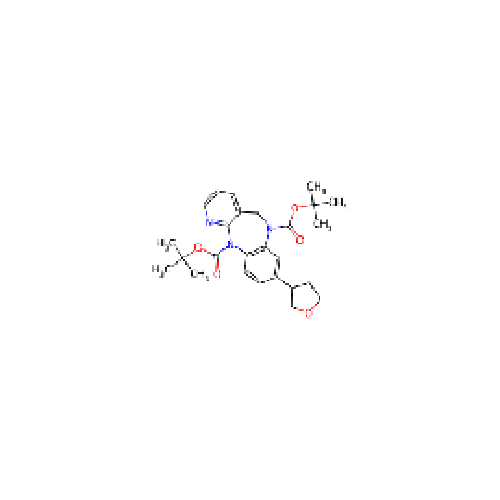 CC(C)(C)OC(=O)N1Cc2cccnc2N(C(=O)OC(C)(C)C)c2ccc(C3CCOC3)cc21